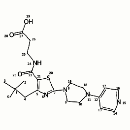 CC(C)(C)Cc1nc(N2CCN(c3ccncc3)CC2)sc1C(=O)NCCC(=O)O